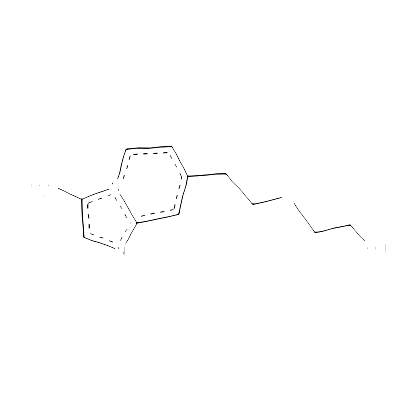 CCOC(=O)c1cnc2cc(CCOCCO)ccn12